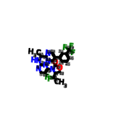 C[C@H](Nc1ncc(F)c(N2C(=O)OCC2[C@H](C)F)n1)c1ncc(-c2cccc(C(F)(F)F)c2)cn1